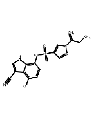 C=C(CC)n1cc(S(=O)(=O)Nc2ccc(Cl)c3c(C#N)c[nH]c23)cn1